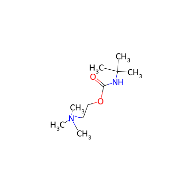 CC(C)(C)NC(=O)OCC[N+](C)(C)C